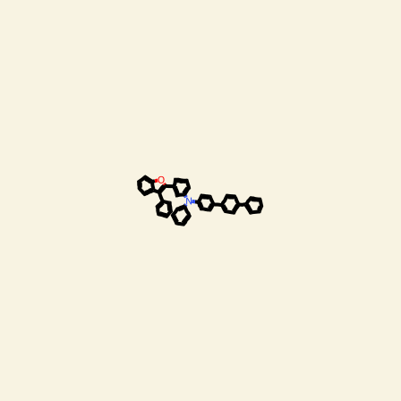 c1ccc(-c2ccc(-c3ccc(N(c4ccccc4)c4cccc(-c5oc6ccccc6c5-c5ccccc5)c4)cc3)cc2)cc1